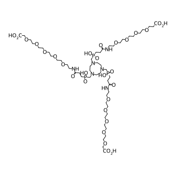 O=C(O)CCOCCOCCOCCOCCNC(=O)CCP(=O)(O)CN1CCN(CP(=O)(O)CCC(=O)NCCOCCOCCOCCOCCOCC(=O)O)CCN(CP(=O)(O)CCC(=O)NCCOCCOCCOCCOCCOCC(=O)O)CC1